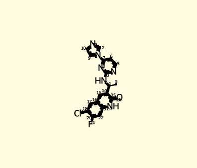 C[C@H](Nc1nccc(-n2ccnc2)n1)c1cc2cc(Cl)c(F)cc2[nH]c1=O